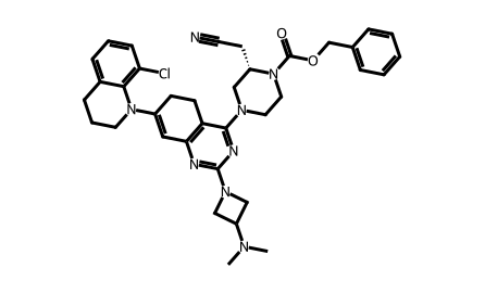 CN(C)C1CN(c2nc3c(c(N4CCN(C(=O)OCc5ccccc5)[C@@H](CC#N)C4)n2)CCC(N2CCCc4cccc(Cl)c42)=C3)C1